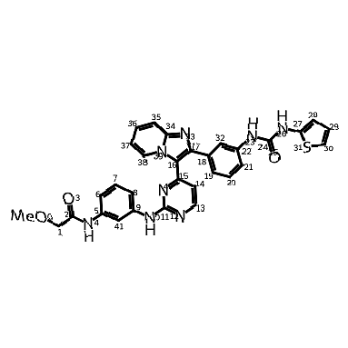 COCC(=O)Nc1cccc(Nc2nccc(-c3c(-c4cccc(NC(=O)Nc5cccs5)c4)nc4ccccn34)n2)c1